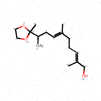 CC(=O)OC(C/C=C(\C)CC/C=C(\C)CO)C1(C)OCCO1